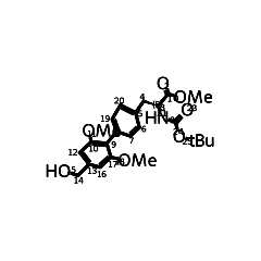 COC(=O)[C@H](Cc1ccc(-c2c(OC)cc(CO)cc2OC)cc1)NC(=O)OC(C)(C)C